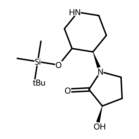 CC(C)(C)[Si](C)(C)OC1CNCC[C@H]1N1CC[C@@H](O)C1=O